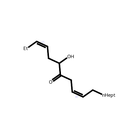 CC/C=C\CC(O)C(=O)C/C=C\CCCCCCCC